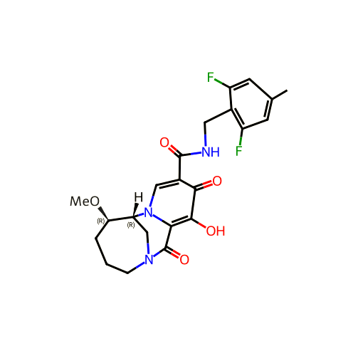 CO[C@@H]1CCCN2C[C@H]1n1cc(C(=O)NCc3c(F)cc(C)cc3F)c(=O)c(O)c1C2=O